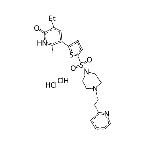 CCc1cc(-c2ccc(S(=O)(=O)N3CCN(CCc4ccccn4)CC3)s2)c(C)[nH]c1=O.Cl.Cl